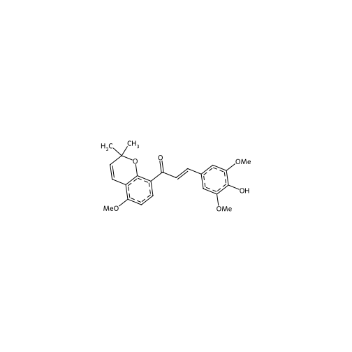 COc1cc(C=CC(=O)c2ccc(OC)c3c2OC(C)(C)C=C3)cc(OC)c1O